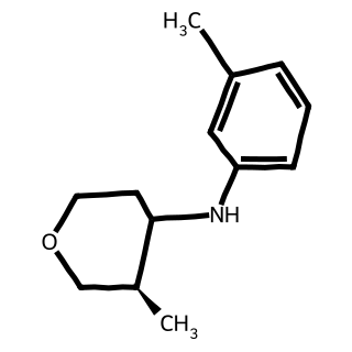 Cc1cccc(NC2CCOC[C@@H]2C)c1